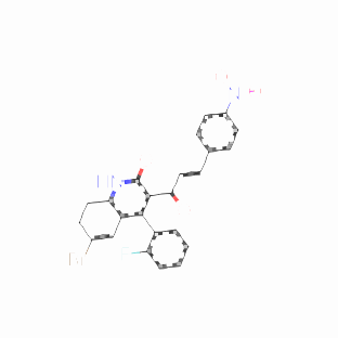 O=C(C=Cc1ccc([N+](=O)[O-])cc1)c1c(-c2ccccc2F)c2c([nH]c1=O)CCC(Br)=C2